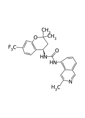 Cc1cc2c(NC(=O)N[C@@H]3CC(C)(C)Oc4cc(C(F)(F)F)ccc43)cccc2cn1